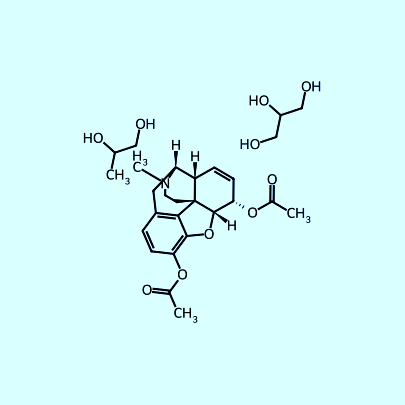 CC(=O)Oc1ccc2c3c1O[C@H]1[C@@H](OC(C)=O)C=C[C@H]4[C@@H](C2)N(C)CC[C@@]341.CC(O)CO.OCC(O)CO